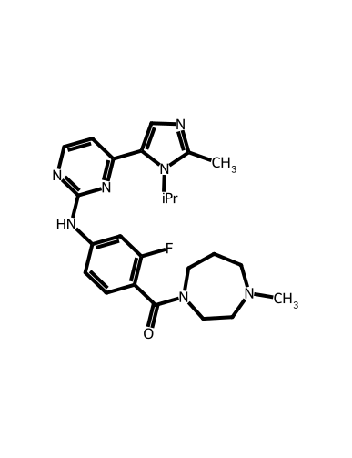 Cc1ncc(-c2ccnc(Nc3ccc(C(=O)N4CCCN(C)CC4)c(F)c3)n2)n1C(C)C